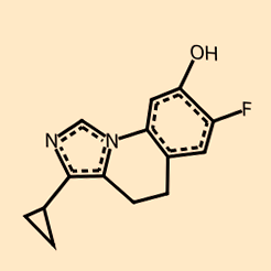 Oc1cc2c(cc1F)CCc1c(C3CC3)ncn1-2